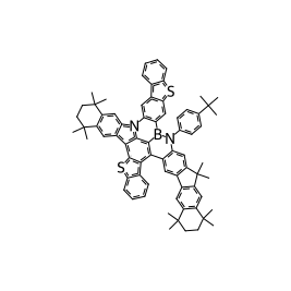 CC(C)(C)c1ccc(N2B3c4cc5sc6ccccc6c5cc4-n4c5cc6c(cc5c5c7sc8ccccc8c7c(c3c54)-c3cc4c(cc32)C(C)(C)c2cc3c(cc2-4)C(C)(C)CCC3(C)C)C(C)(C)CCC6(C)C)cc1